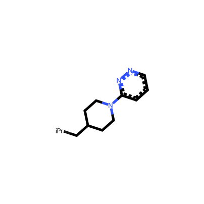 CC(C)CC1CCN(c2cccnn2)CC1